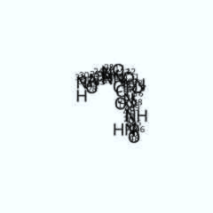 COc1nc(-c2ccnc(-c3cccc(NC(=O)c4nc5c(n4C)CCN(C(=O)[C@@H]4CCN4)C5)c3Cl)c2Cl)ccc1CNC[C@H]1CCC(=O)N1